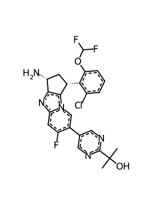 CC(C)(O)c1ncc(-c2cn3c4c(nc3cc2F)[C@H](N)C[C@@H]4c2c(Cl)cccc2OC(F)F)cn1